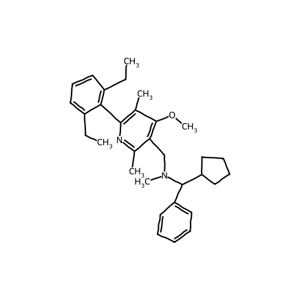 CCc1cccc(CC)c1-c1nc(C)c(CN(C)C(c2ccccc2)C2CCCC2)c(OC)c1C